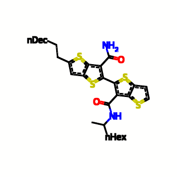 CCCCCCCCCCCCc1cc2sc(-c3sc4ccsc4c3C(=O)NC(C)CCCCCC)c(C(N)=O)c2s1